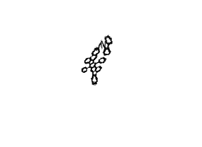 c1ccc(-c2c3cc4c5ccccc5c5cccc(c3c(-c3ccccc3)c3c6cc7cc(Cn8c9ccccc9c9ccccc98)ccc7c7cccc(c23)c76)c54)cc1